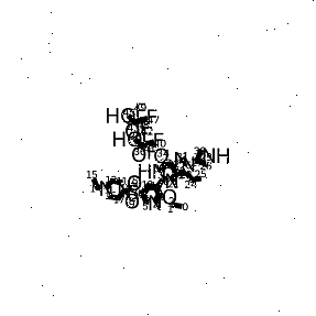 CCOc1ncc(S(=O)(=O)N2CCN(CC)CC2)cc1-c1nc2c(CC)n(C3CNC3)nc2c(=O)[nH]1.O=C(O)C(F)(F)F.O=C(O)C(F)(F)F